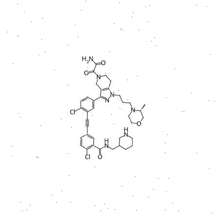 C[C@H]1COCCN1CCCn1nc(-c2ccc(Cl)c(C#Cc3ccc(Cl)c(C(=O)NCC4CCCNC4)c3)c2)c2c1CCN(C(=O)C(N)=O)C2